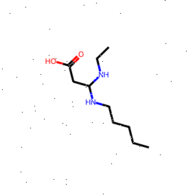 CCCCCNC(CC(=O)O)NCC